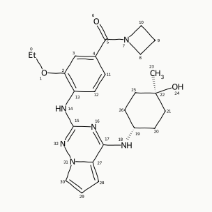 CCOc1cc(C(=O)N2CCC2)ccc1Nc1nc(N[C@H]2CC[C@](C)(O)CC2)c2cccn2n1